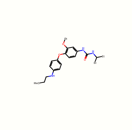 CCOc1cc(NC(=O)NC(CC)CC)ccc1Oc1ccc(NCCOC)cc1